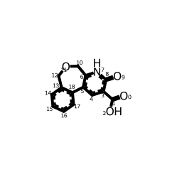 O=C(O)c1cc2c([nH]c1=O)COCc1ccccc1-2